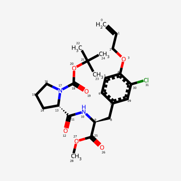 C=CCOc1ccc(C[C@H](NC(=O)[C@@H]2CCCN2C(=O)OC(C)(C)C)C(=O)OC)cc1Cl